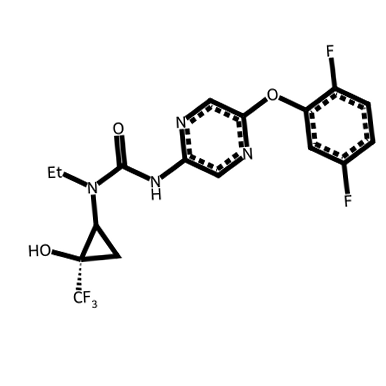 CCN(C(=O)Nc1cnc(Oc2cc(F)ccc2F)cn1)C1C[C@]1(O)C(F)(F)F